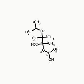 CC(C)OC(C)(C)C(C)(C)OB(O)O